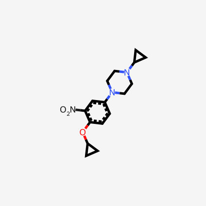 O=[N+]([O-])c1cc(N2CCN(C3CC3)CC2)ccc1OC1CC1